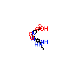 CCCCNC(=N)c1ccc(C2=NOC(C(=O)N3CCC(OCC(=O)O)CC3)C2)cc1